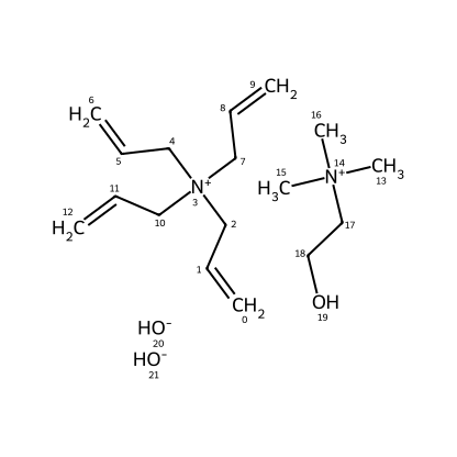 C=CC[N+](CC=C)(CC=C)CC=C.C[N+](C)(C)CCO.[OH-].[OH-]